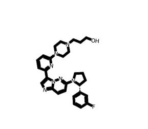 OCCCN1CCN(c2cccc(-c3cnc4ccc(N5CCC[C@@H]5c5cccc(F)c5)nn34)n2)CC1